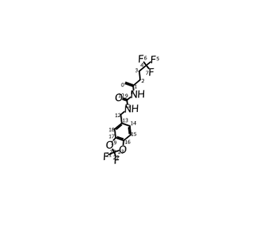 C=C(CCC(F)(F)F)NC(=O)NCc1ccc2c(c1)OC(F)(F)O2